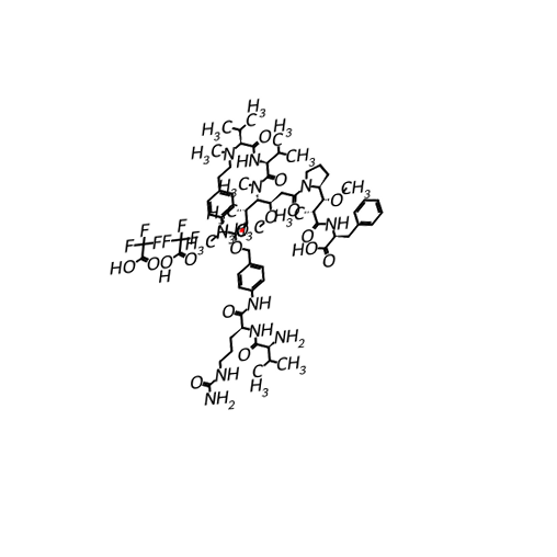 CC[C@H](C)[C@@H]([C@@H](CC(=O)N1CCC[C@H]1[C@H](OC)[C@@H](C)C(=O)N[C@@H](Cc1ccccc1)C(=O)O)OC)N(C)C(=O)[C@@H](NC(=O)[C@H](C(C)C)N(C)CCc1ccc(N(C)C(=O)OCc2ccc(NC(=O)[C@H](CCCNC(N)=O)NC(=O)[C@@H](N)C(C)C)cc2)cc1)C(C)C.O=C(O)C(F)(F)F.O=C(O)C(F)(F)F